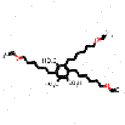 C=COCCCCCCc1c(CCCCCCOC=C)c(C(=O)O)c(C(=O)O)c(CCCCCCOC=C)c1C(=O)O